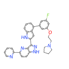 Fc1cc(OCCN2CCCC2)cc(-c2cccc3[nH]c(-c4n[nH]c5ccc(-c6ccccn6)nc45)cc23)c1